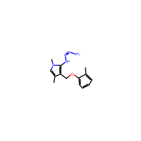 Cc1ccccc1OCc1c(C)cn(C)c1N/N=N\N